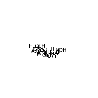 CC(C)n1c(=O)n(CC2CC2)c(=O)c2cc(NC(=O)N3CCCC(NC(=O)c4ccc(O)nc4)C3)ccc21